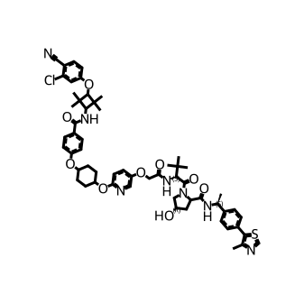 Cc1ncsc1-c1ccc([C@H](C)NC(=O)C2C[C@@H](O)CN2C(=O)[C@@H](NC(=O)COc2ccc(OC3CCC(Oc4ccc(C(=O)NC5C(C)(C)C(Oc6ccc(C#N)c(Cl)c6)C5(C)C)cc4)CC3)nc2)C(C)(C)C)cc1